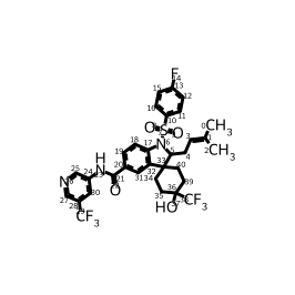 CC(C)=CCC1N(S(=O)(=O)c2ccc(F)cc2)c2ccc(C(=O)Nc3cncc(C(F)(F)F)c3)cc2C12CCC(O)(C(F)(F)F)CC2